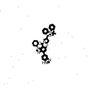 CC(C)(C)[Si](OCC1CCN(C(=O)c2c(F)cc(-c3ccc4[nH]cnc4c3)c3ncn(C4CCCCC4)c23)C1)(c1ccccc1)c1ccccc1